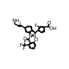 NCC#Cc1ccc2c(-c3ccc(C(=O)O)cc3F)nn(C(=O)c3c(Cl)cccc3C(F)(F)F)c2c1